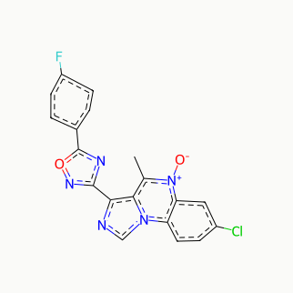 Cc1c2c(-c3noc(-c4ccc(F)cc4)n3)ncn2c2ccc(Cl)cc2[n+]1[O-]